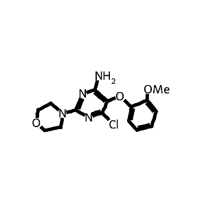 COc1ccccc1Oc1c(N)nc(N2CCOCC2)nc1Cl